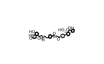 O=C(NCC(=O)N1CCC(c2cccc([C@](O)(C(=O)O)c3ccccc3)c2)CC1)c1ccc(CCNC[C@H](O)c2ccc(O)c3[nH]c(=O)ccc23)cc1